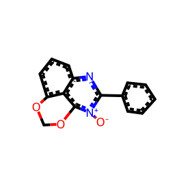 [O-][n+]1c(-c2ccccc2)nc2cccc3c2c1OCO3